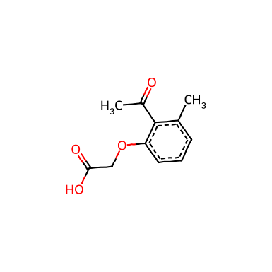 CC(=O)c1c(C)cccc1OCC(=O)O